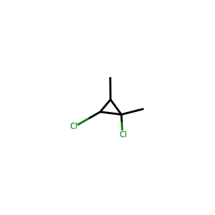 CC1C(Cl)C1(C)Cl